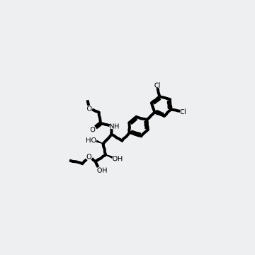 CCOC(O)[C@H](O)[C@@H](O)C(Cc1ccc(-c2cc(Cl)cc(Cl)c2)cc1)NC(=O)COC